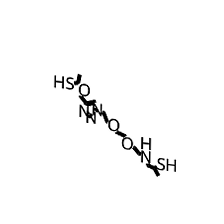 CC(S)CNCCOCCOCCn1cc(COC(C)S)nn1